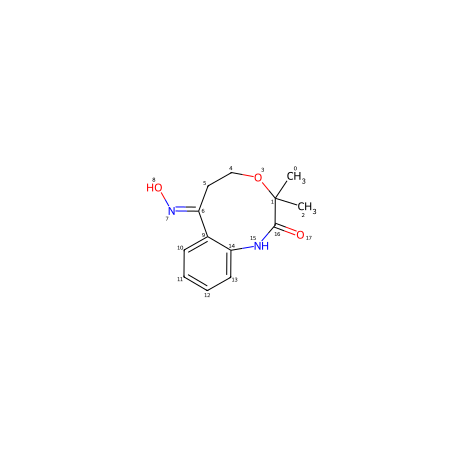 CC1(C)OCC/C(=N\O)c2ccccc2NC1=O